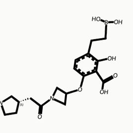 O=C(O)c1c(OC2CN(C(=O)C[C@@H]3CCNC3)C2)ccc(CCB(O)O)c1O